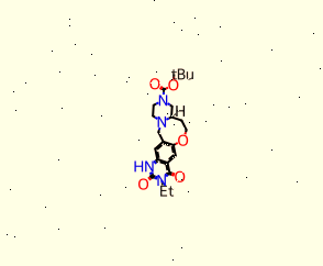 CCn1c(=O)[nH]c2cc3c(cc2c1=O)OCC[C@@H]1CN(C(=O)OC(C)(C)C)CCN1C3